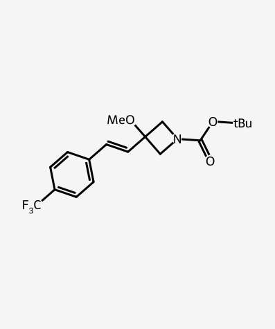 COC1(C=Cc2ccc(C(F)(F)F)cc2)CN(C(=O)OC(C)(C)C)C1